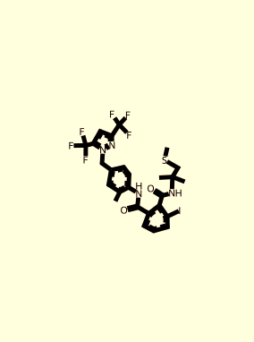 CSCC(C)(C)NC(=O)c1c(I)cccc1C(=O)Nc1ccc(Cn2nc(C(F)(F)F)cc2C(F)(F)F)cc1C